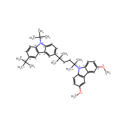 COc1ccc2c(c1)c1cc(OC)ccc1n2C(C)(C)CCC(C)(C)c1ccc2c(c1)c1cc(C(C)(C)C)ccc1n2C(C)(C)C